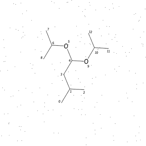 CC(C)CC(OC(C)C)OC(C)C